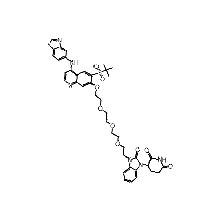 CC(C)(C)S(=O)(=O)c1cc2c(Nc3ccc4scnc4c3)ccnc2cc1OCCOCCOCCOCCn1c(=O)n(C2CCC(=O)NC2=O)c2ccccc21